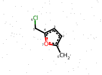 [CH2]c1ccc(CCl)o1